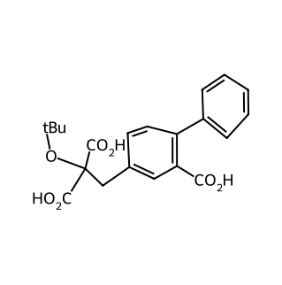 CC(C)(C)OC(Cc1ccc(-c2ccccc2)c(C(=O)O)c1)(C(=O)O)C(=O)O